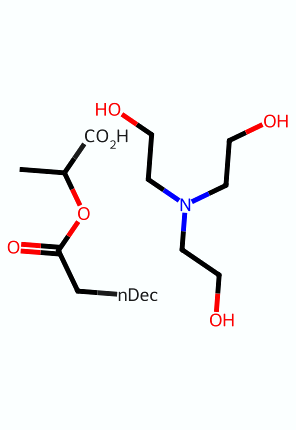 CCCCCCCCCCCC(=O)OC(C)C(=O)O.OCCN(CCO)CCO